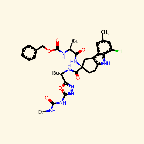 CCNC(=O)Nc1nnc([C@@H](NC(=O)[C@@]2(NC(=O)[C@@H](NC(=O)OCc3ccccc3)C(C)CC)CCc3[nH]c4c(Cl)cc(C)cc4c3C2)C(C)CC)o1